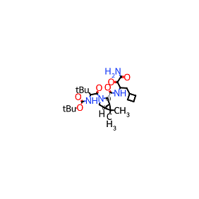 CC(C)(C)OC(=O)NC(C(=O)N1C[C@H]2C([C@H]1C(=O)NC(CC1CCC1)C(=O)C(N)=O)C2(C)C)C(C)(C)C